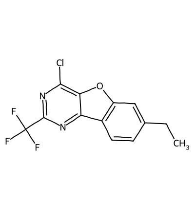 CCc1ccc2c(c1)oc1c(Cl)nc(C(F)(F)F)nc12